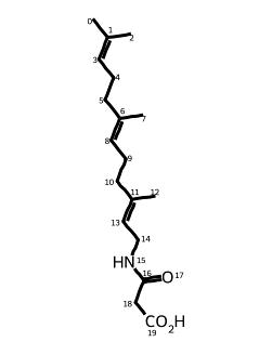 CC(C)=CCC/C(C)=C/CC/C(C)=C/CNC(=O)CC(=O)O